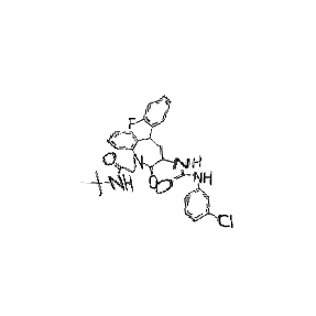 CC(C)(C)NC(=O)CN1C(=O)C(NC(=O)Nc2cccc(Cl)c2)CC(c2ccccc2F)c2ccccc21